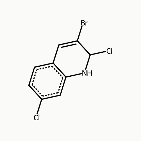 Clc1ccc2c(c1)NC(Cl)C(Br)=C2